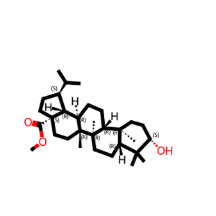 COC(=O)[C@]12CC[C@@H](C(C)C)[C@@H]1[C@H]1CC[C@@H]3[C@@]4(C)CC[C@H](O)C(C)(C)[C@@H]4CC[C@@]3(C)[C@]1(C)CC2